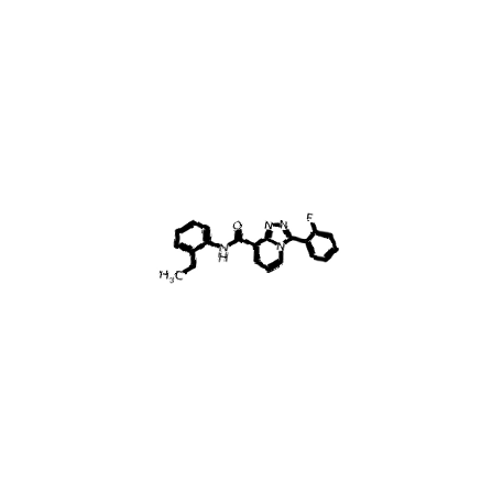 CCc1ccccc1NC(=O)c1cccn2c(-c3ccccc3F)nnc12